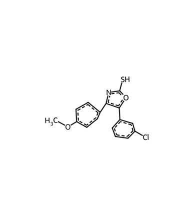 COc1ccc(-c2nc(S)oc2-c2cccc(Cl)c2)cc1